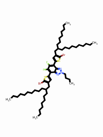 CCCCCCCCCCC(CCCCCCCC)Cc1cc(-c2c(F)c(F)c(-c3cc(CC(CCCCCCCC)CCCCCCCCCC)c(Br)s3)c3nn(CCCC)nc23)sc1Br